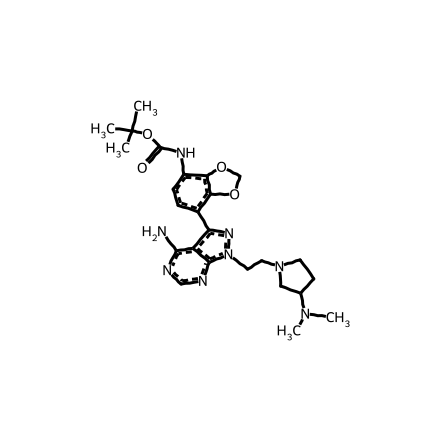 CN(C)C1CCN(CCn2nc(-c3ccc(NC(=O)OC(C)(C)C)c4c3OCO4)c3c(N)ncnc32)C1